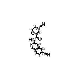 N#Cc1ccc2cnc(NC(=O)C3CN(C#N)CCO3)cc2c1